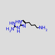 N=C(N)Nc1nc(CCCCN)c[nH]1